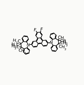 CC1(C)c2ccccc2N(c2ccc3c4ccc(N5c6ccccc6C(C)(C)C(C)(C)c6ccccc65)cc4c4cc(F)c(F)cc4c3c2)c2ccccc2C1(C)C